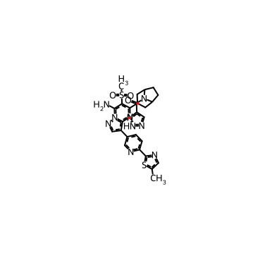 Cc1cnc(-c2ccc(-c3cnn4c(N)c(S(C)(=O)=O)c(C5CC6CCC(C5)N6C(=O)c5cn[nH]n5)nc34)cn2)s1